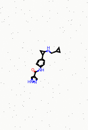 O=C(Nc1ccc(C2CC2NCC2CC2)cc1)c1cn[nH]c1